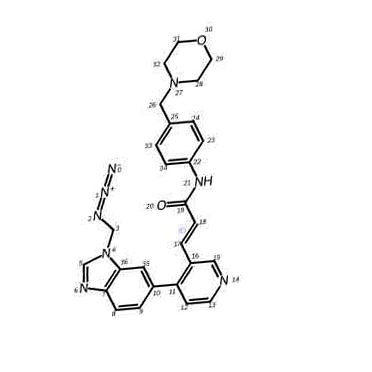 [N-]=[N+]=NCn1cnc2ccc(-c3ccncc3/C=C/C(=O)Nc3ccc(CN4CCOCC4)cc3)cc21